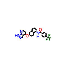 O=C(Nc1cccc2cc(Oc3ccnc4[nH]ncc34)ccc12)c1ccc(C(F)(F)F)cc1